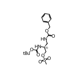 CC(C)(C)OC(=O)N[C@@H](CNC(=O)OCc1ccccc1)COS(C)(=O)=O